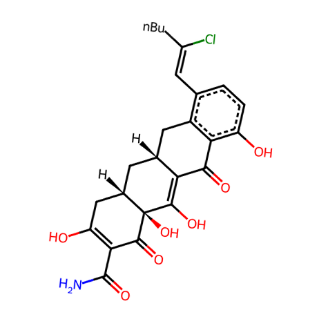 CCCC/C(Cl)=C/c1ccc(O)c2c1C[C@H]1C[C@H]3CC(O)=C(C(N)=O)C(=O)[C@@]3(O)C(O)=C1C2=O